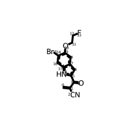 C=C(C#N)C(=O)c1cc2cc(OCCF)c(Br)cc2[nH]1